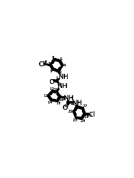 O=C(Nc1cccc(Cl)c1)Nc1ccccc1NC(=O)Nc1cccc(Cl)c1